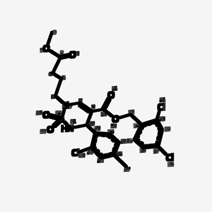 COC(=O)CCCN1C=C(C(=O)OCc2ccc(Cl)cc2Cl)C(c2ccc(C)cc2Cl)NS1(=O)=O